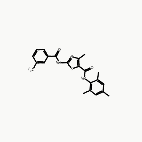 Cc1cc(C)c(NC(=O)c2sc(NC(=O)c3cccc(C(F)(F)F)c3)nc2C)c(C)c1